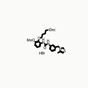 Br.CCCCCCCCCCCCCCOc1c(NC(=O)Nc2cccc(CN3CSC=C3C)c2)cccc1OC